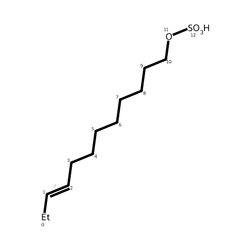 CC/C=C/CCCCCCCCOS(=O)(=O)O